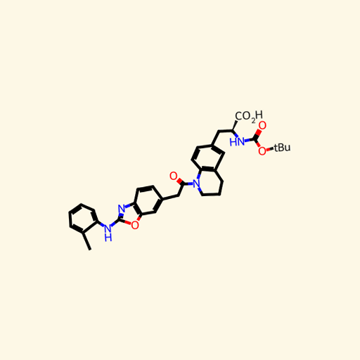 Cc1ccccc1Nc1nc2ccc(CC(=O)N3CCCc4cc(C[C@H](NC(=O)OC(C)(C)C)C(=O)O)ccc43)cc2o1